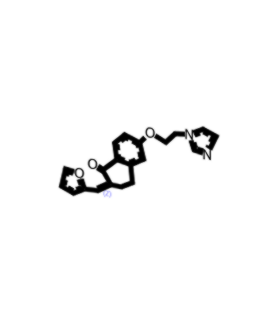 O=C1/C(=C\c2ccco2)CCc2cc(OCCn3ccnc3)ccc21